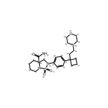 NC(=O)[C@]12[CH]CCCN1S(=O)(=O)N(c1ccc(C3(CCN4CCOCC4)CCC3)cc1)C2